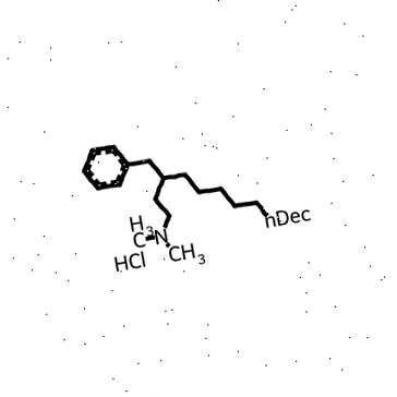 CCCCCCCCCCCCCCCC(CCN(C)C)Cc1ccccc1.Cl